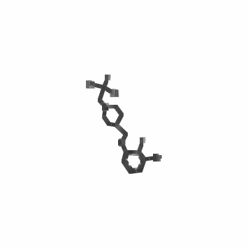 CCC(F)(CC)CN1CCC(COc2cccc(Br)c2F)CC1